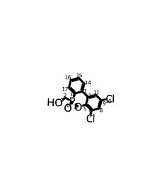 O=P1(CO)Oc2c(Cl)cc(Cl)cc2-c2ccccc21